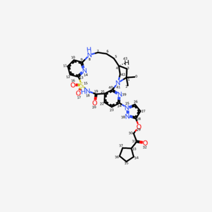 CC1(C)C[C@@H]2CCCNc3cccc(n3)S(=O)(=O)NC(=O)c3ccc(-n4ccc(OCC(=O)C5CCCC5)n4)nc3N1C2